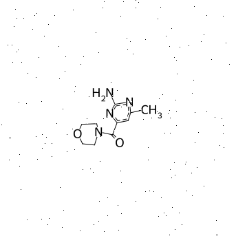 Cc1cc(C(=O)N2CCOCC2)nc(N)n1